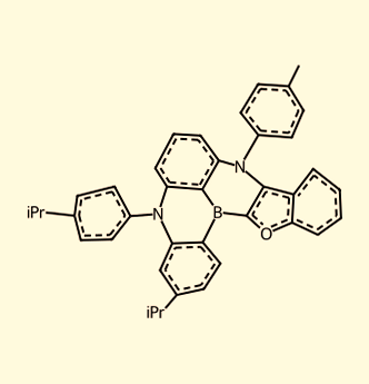 Cc1ccc(N2c3cccc4c3B(c3ccc(C(C)C)cc3N4c3ccc(C(C)C)cc3)c3oc4ccccc4c32)cc1